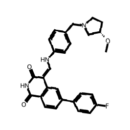 CO[C@H]1CCN(Cc2ccc(NC=C3C(=O)NC(=O)c4ccc(-c5ccc(F)cc5)cc43)cc2)C1